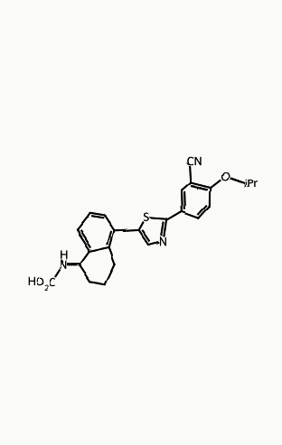 CC(C)Oc1ccc(-c2ncc(-c3cccc4c3CCCC4NC(=O)O)s2)cc1C#N